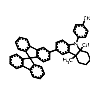 CC12CCCCC1(C)N(c1ccc(C#N)cc1)c1ccc(-c3ccc4c(c3)-c3ccccc3C43c4ccccc4-c4ccccc43)cc12